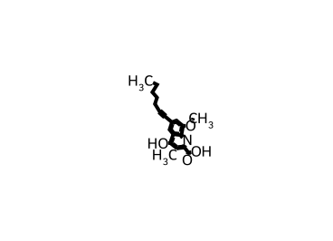 CCCCCC#Cc1cc(OC)c2nc(C(=O)O)c(C)c(O)c2c1